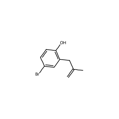 C=C(C)Cc1cc(Br)ccc1O